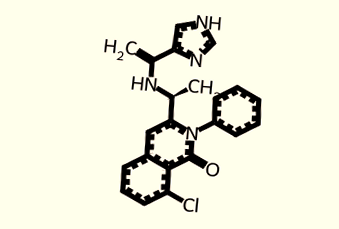 C=C(N[C@@H](C)c1cc2cccc(Cl)c2c(=O)n1-c1ccccc1)c1c[nH]cn1